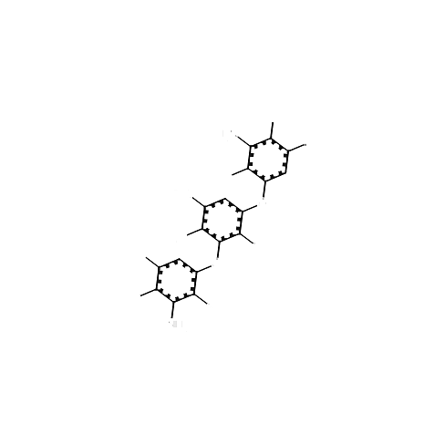 Nc1c(F)c(F)cc(Oc2cc(C(F)(F)F)c(C(F)(F)F)c(Oc3cc(F)c(F)c(N)c3F)c2F)c1F